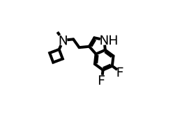 CN(CCc1c[nH]c2cc(F)c(F)cc12)C1CCC1